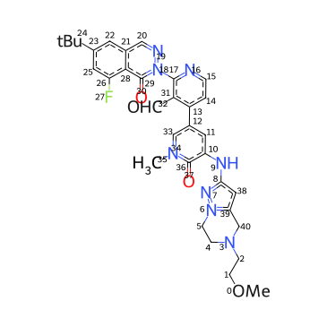 COCCN1CCn2nc(Nc3cc(-c4ccnc(-n5ncc6cc(C(C)(C)C)cc(F)c6c5=O)c4C=O)cn(C)c3=O)cc2C1